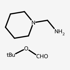 CC(C)(C)OC=O.NCN1CCCCC1